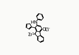 [Cl-].[Cl-].[Zr+2][CH]1c2ccccc2-c2ccc(Nc3ccccc3)c(C3=CC=CC3)c21